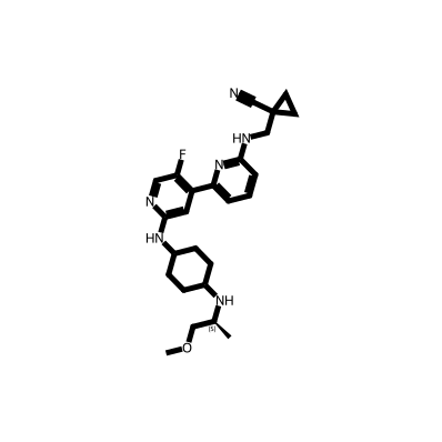 COC[C@H](C)NC1CCC(Nc2cc(-c3cccc(NCC4(C#N)CC4)n3)c(F)cn2)CC1